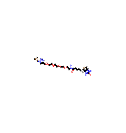 C[SH](C)Cn1cc(COCCOCCOCCOCCNC(=O)CCCC[C@@H]2SCC3NC(=O)N[C@@H]32)nn1